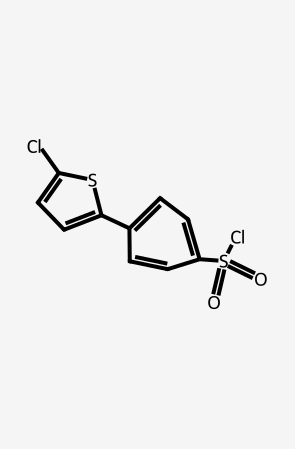 O=S(=O)(Cl)c1ccc(-c2ccc(Cl)s2)cc1